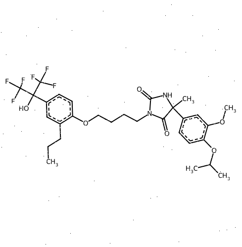 CCCc1cc(C(O)(C(F)(F)F)C(F)(F)F)ccc1OCCCCN1C(=O)NC(C)(c2ccc(OC(C)C)c(OC)c2)C1=O